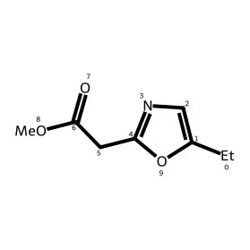 CCc1cnc(CC(=O)OC)o1